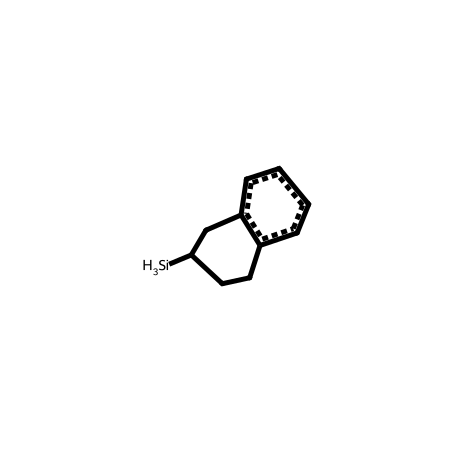 [SiH3]C1CCc2ccccc2C1